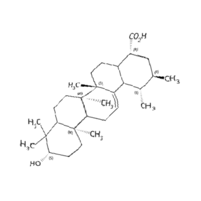 C[C@@H]1C[C@@H](C(=O)O)C2CC[C@]3(C)C(=CCC4[C@@]5(C)CC[C@H](O)C(C)(C)C5CC[C@]43C)C2[C@H]1C